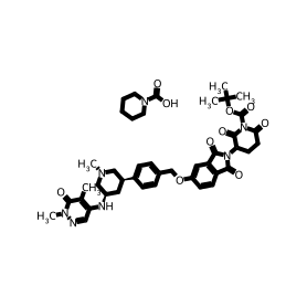 Cc1c(N[C@@H]2C[C@H](c3ccc(COc4ccc5c(c4)C(=O)N(C4CCC(=O)N(C(=O)OC(C)(C)C)C4=O)C5=O)cc3)CN(C)C2)cnn(C)c1=O.O=C(O)N1CCCCC1